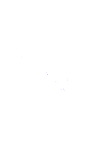 COc1ccccc1Nc1nccc(NCC(O)c2cccc(C(F)(F)F)c2)n1